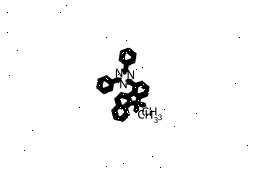 CCC1(CC)c2cccc(-c3nc(-c4ccccc4)nc(-c4ccccc4)n3)c2-c2ccc3ccccc3c21